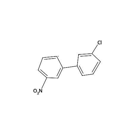 O=[N+]([O-])c1cc[c]c(-c2cccc(Cl)c2)c1